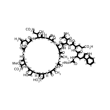 CCCCCCCCCC(=O)NC(Cc1c[nH]c2ccccc12)C(=O)NC(CCC(=O)O)C(=O)NC(C(=O)NC1C(=O)N(C)CC(=O)NC(C)C(=O)NC(CC(=O)O)C(=O)NC(CO)C(=O)NC(C(OC)C(=O)O)C(=O)NCC(=O)NC(CC(N)=O)C(=O)NC(C(C)CC(=O)O)C(=O)NC(C(C)CC)C(=O)OC1C)C(O)C(N)=O